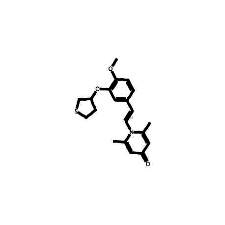 COc1ccc(/C=C/n2c(C)cc(=O)cc2C)cc1OC1CCSC1